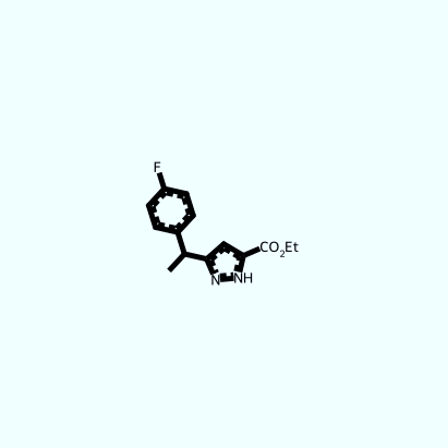 CCOC(=O)c1cc(C(C)c2ccc(F)cc2)n[nH]1